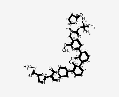 COC(=O)C1CN=C(c2cnc3cc(-c4cccc(-c5cccc(-c6ccc(CN(C[C@@H]7CCC(=O)N7)C(=O)OC(C)(C)C)c(OC)n6)c5Cl)c4Cl)ccn3c2=O)N1